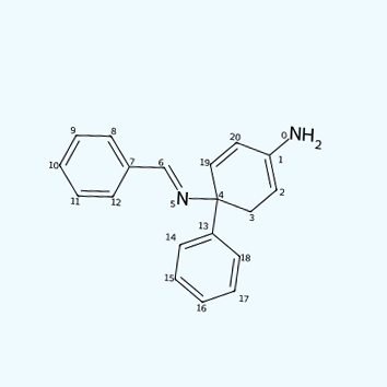 NC1=CCC(N=Cc2ccccc2)(c2ccccc2)C=C1